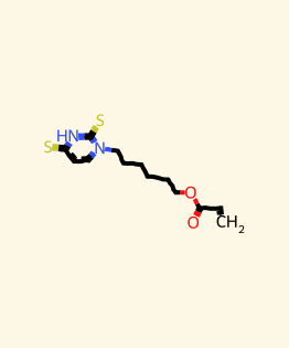 C=CC(=O)OCCCCCCn1ccc(=S)[nH]c1=S